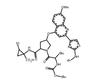 CCC1CC1(NC(=O)C1CC(Oc2cc(-c3csc(NC(C)C)n3)nc3cc(OC)ccc23)CN1C(=O)C(NC(=O)OC(C)(C)C)C(C)(C)C)C(=O)O